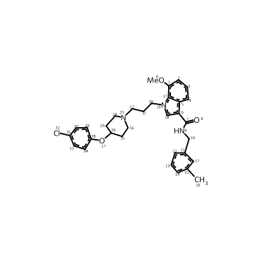 COc1cccc2c(C(=O)NCc3cccc(C)c3)cn(CCCN3CCC(Oc4ccc(Cl)cc4)CC3)c12